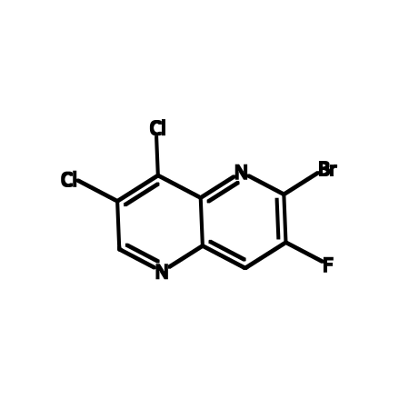 Fc1cc2ncc(Cl)c(Cl)c2nc1Br